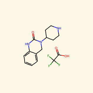 O=C(O)C(F)(F)F.O=C1Nc2ccccc2CN1C1CCNCC1